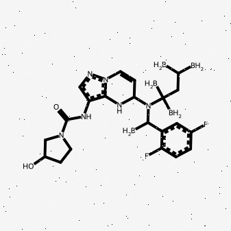 BC(B)CC(B)(B)N(C1C=Cn2ncc(NC(=O)N3CCC(O)C3)c2N1)C(B)c1cc(F)ccc1F